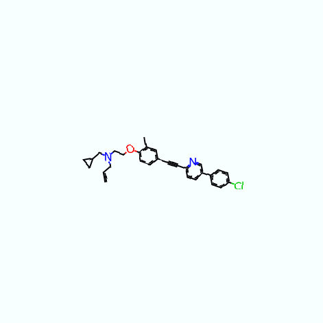 C=CCN(CCOc1ccc(C#Cc2ccc(-c3ccc(Cl)cc3)cn2)cc1C)CC1CC1